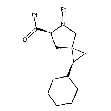 CCC(=O)[C@@H]1C[C@]2(C[C@H]2C2CCCCC2)CN1CC